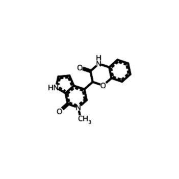 Cn1cc(C2Oc3ccccc3NC2=O)c2cc[nH]c2c1=O